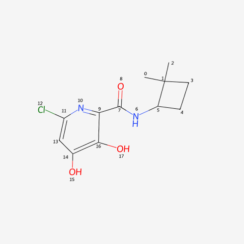 CC1(C)CCC1NC(=O)c1nc(Cl)cc(O)c1O